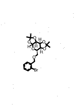 CC1(C)O[C@H]2[C@@H](O1)[C@@H](COCc1ccccc1Br)O[C@@H]1OC(C)(C)O[C@@H]12